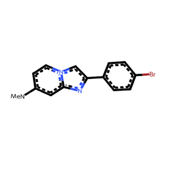 CNc1ccn2cc(-c3ccc(Br)cc3)nc2c1